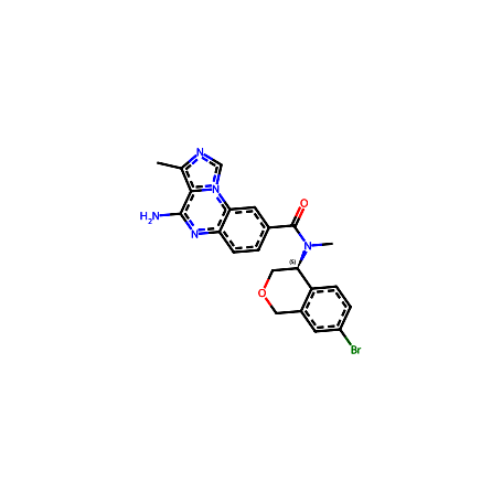 Cc1ncn2c1c(N)nc1ccc(C(=O)N(C)[C@@H]3COCc4cc(Br)ccc43)cc12